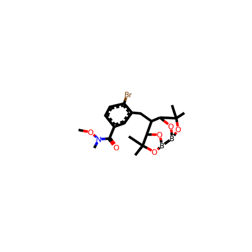 CON(C)C(=O)c1ccc(Br)c(CC2C3OB(OC3(C)C)B3OC2C(C)(C)O3)c1